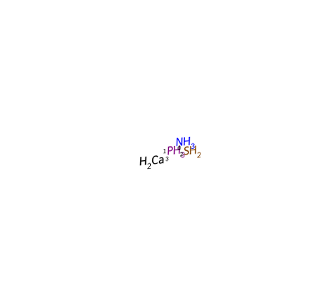 N.P.S.[CaH2]